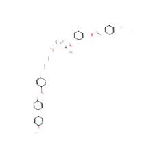 CCC(C)(CC(C)C(=O)OCCCCOc1ccc(C(=O)Oc2ccc(-c3ccc(OC)cc3)cc2)cc1)C(=O)Oc1ccc(OC(=O)/C=C/c2ccc(OC)cc2)cc1